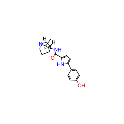 C[C@H]1[C@H](NC(=O)c2ccc(-c3ccc(O)cc3)[nH]2)C2CCN1CC2